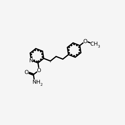 COc1ccc(CC[CH]c2cccnc2OC(N)=O)cc1